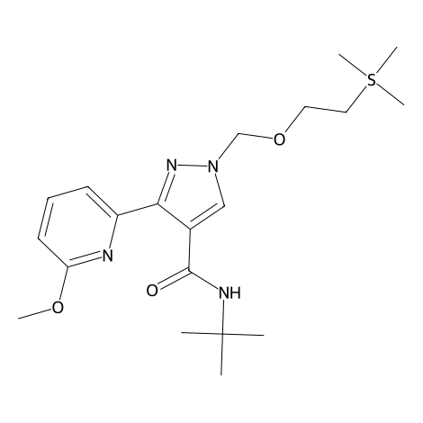 COc1cccc(-c2nn(COCCS(C)(C)C)cc2C(=O)NC(C)(C)C)n1